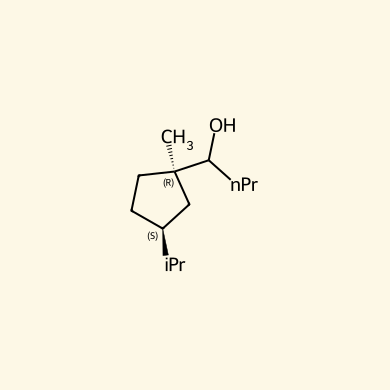 CCCC(O)[C@]1(C)CC[C@H](C(C)C)C1